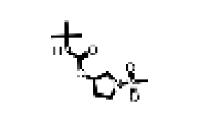 CC(C)(C)NC(=O)OC1CCN(S(C)(=O)=O)C1